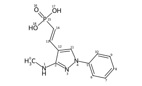 CNc1nn(-c2ccccc2)cc1C=CP(=O)(O)O